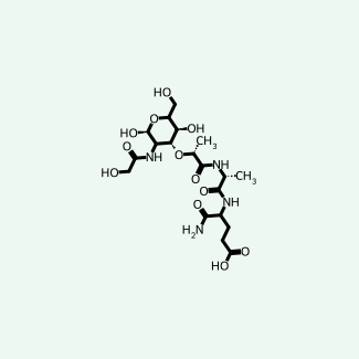 C[C@@H](NC(=O)[C@@H](C)O[C@@H]1C(NC(=O)CO)[C@@H](O)OC(CO)[C@H]1O)C(=O)NC(CCC(=O)O)C(N)=O